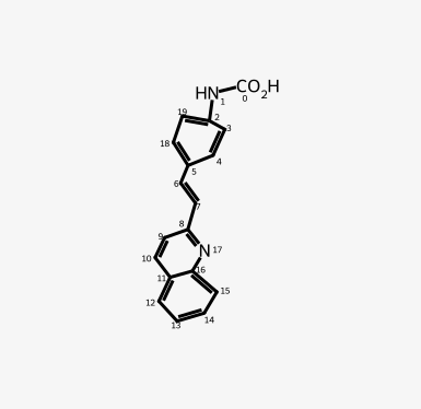 O=C(O)Nc1ccc(/C=C/c2ccc3ccccc3n2)cc1